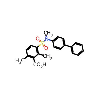 Cc1ccc(S(=O)(=O)N(C)c2ccc(-c3ccccc3)cc2)c(C)c1C(=O)O